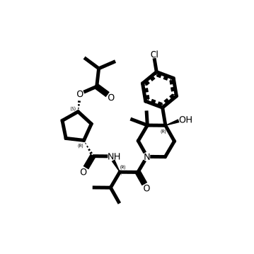 CC(C)C(=O)O[C@H]1CC[C@@H](C(=O)N[C@@H](C(=O)N2CC[C@@](O)(c3ccc(Cl)cc3)C(C)(C)C2)C(C)C)C1